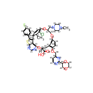 CC1C(Cl)=C2C=CC1(C)c1c(-c3ccc(F)cc3)sc3ncnc(c13)O[C@@H](C(=O)O)Cc1cc(ccc1OCc1ccnc(C3COCCO3)n1)OCC(CN1CCN(C)CC1)O2